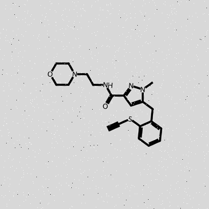 C#CSc1ccccc1Cc1cc(C(=O)NCCN2CCOCC2)nn1C